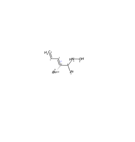 C=C/C=C(/C(NO)C(C)C)[C@@H](C)CC